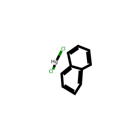 [Cl][Hg][Cl].c1ccc2ccccc2c1